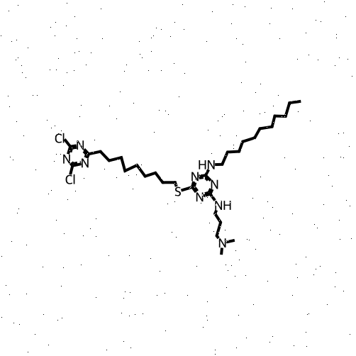 CCCCCCCCCCCNc1nc(NCCCN(C)C)nc(SCCCCCCCCCc2nc(Cl)nc(Cl)n2)n1